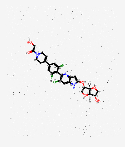 O=C(CO)N1CC=C(c2cc(F)c(-c3nc4cc(O[C@@H]5CO[C@H]6[C@@H]5OC[C@H]6O)[nH]c4cc3Cl)c(F)c2)CC1